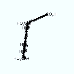 O=C(O)CCCCCCCCCCCCCCCCC(=O)N[C@@H](CCC(=O)NCCCOCCOCCOCCCNC(=O)COCC(=O)NCCCCC(N=P)C(=O)O)C(=O)O